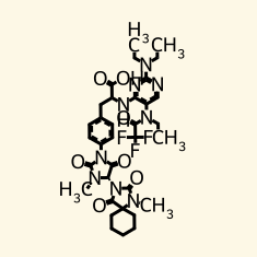 CCN(CC)c1ncc(N(CC)C(=O)C(F)(F)F)c(NC(Cc2ccc(N3C(=O)[C@H](N4C(=O)N(C)C5(CCCCC5)C4=O)N(C)C3=O)cc2)C(=O)O)n1